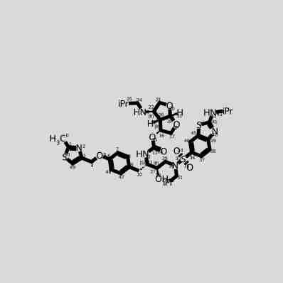 Cc1nc(COc2ccc(C[C@H](NC(=O)O[C@H]3CO[C@H]4OC[C@H](NCC(C)C)[C@H]43)[C@H](O)CN(CC(C)C)S(=O)(=O)c3ccc4nc(NC(C)C)sc4c3)cc2)cs1